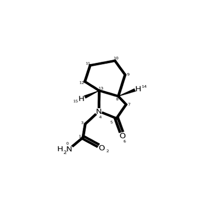 NC(=O)CN1C(=O)C[C@H]2CCCC[C@H]21